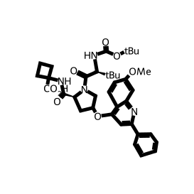 COc1ccc2c(OC3C[C@@H](C(=O)NC4(C(=O)O)CCC4)N(C(=O)[C@@H](NC(=O)OC(C)(C)C)C(C)(C)C)C3)cc(-c3ccccc3)nc2c1